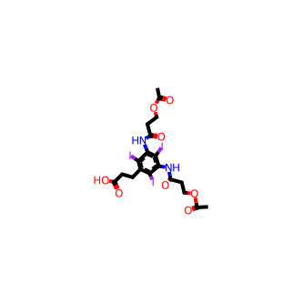 CC(=O)OCCC(=O)Nc1c(I)c(CCC(=O)O)c(I)c(NC(=O)CCOC(C)=O)c1I